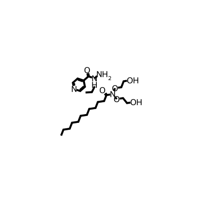 CCC.CCCCCCCCCCCC(=O)N(OCCO)OCCO.NNC(=O)c1ccncc1